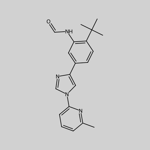 Cc1cccc(-n2cnc(-c3ccc(C(C)(C)C)c(NC=O)c3)c2)n1